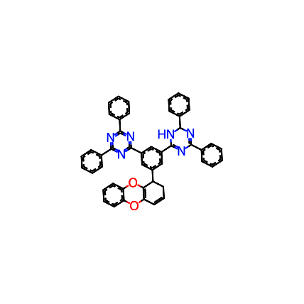 C1=CC2=C(Oc3ccccc3O2)C(c2cc(C3=NC(c4ccccc4)=NC(c4ccccc4)N3)cc(-c3nc(-c4ccccc4)nc(-c4ccccc4)n3)c2)C1